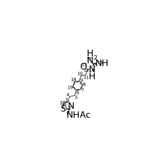 CC(=O)Nc1nc(CCc2ccc(CCC(=O)NC(=N)N)cc2)cs1